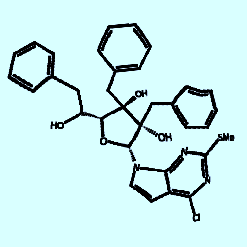 CSc1nc(Cl)c2ccn([C@@H]3O[C@H](C(O)Cc4ccccc4)[C@](O)(Cc4ccccc4)[C@@]3(O)Cc3ccccc3)c2n1